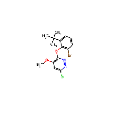 COc1cc(Cl)nnc1Oc1c(Br)cccc1C(C)(C)C